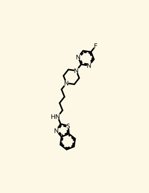 Fc1cnc(N2CCN(CCCCNc3nc4ccccc4s3)CC2)nc1